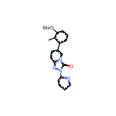 COc1cccc(-c2ccc3nn(-c4ccccn4)c(=O)n3c2)c1C